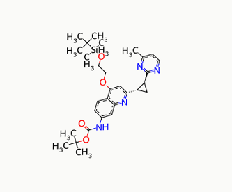 Cc1ccnc([C@H]2C[C@@H]2c2cc(OCCO[Si](C)(C)C(C)(C)C)c3ccc(NC(=O)OC(C)(C)C)cc3n2)n1